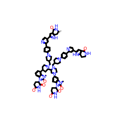 C[C@@H]1Cc2[nH]c(-c3ccnc(-c4ccc(N5CCC(CN6CCC(c7cccc8c7n(C)c(=O)n8C7CCC(=O)NC7=O)CC6C6CN(c7ccc8c(c7)n(C)c(=O)n8C7CCC(=O)NC7=O)CCN6CC6CCN(c7ccc(-c8cc(-c9cc%10c([nH]9)CCNC%10=O)ccn8)cc7)CC6)CC5)cc4)c3)cc2C(=O)N1